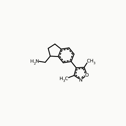 Cc1noc(C)c1-c1ccc2c(c1)C(CN)CC2